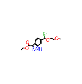 CCOC(=O)c1n[nH]c2cc(C(Br)OCCOC)ccc12